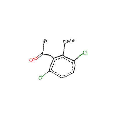 COc1c(Cl)ccc(Cl)c1C(=O)C(C)C